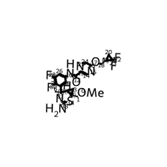 COC[C@]12C[C@H]1[C@@](C)(c1cc(NC(=O)c3cnc(OC[C@H]4CC4(F)F)cn3)cc(F)c1F)N=C(N)S2